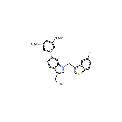 CC(=O)Nc1cc(NC(C)=O)cc(-c2ccc3c(CC=O)cn(Cc4csc5ccc(Cl)cc45)c3c2)c1